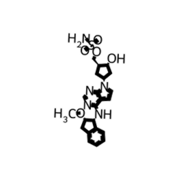 CO[C@@H]1Cc2ccccc2[C@H]1Nc1ncnc2c1ccn2[C@@H]1C[C@@H](COS(N)(=O)=O)[C@@H](O)C1